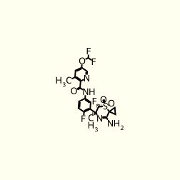 Cc1cc(OC(F)F)cnc1C(=O)Nc1ccc(F)c([C@@]2(C)N=C(N)C3(CC3)S(=O)(=O)[C@H]2F)c1